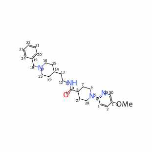 COc1ccc(N2CCC(C(=O)NCCC3CCN(Cc4ccccc4)CC3)CC2)nc1